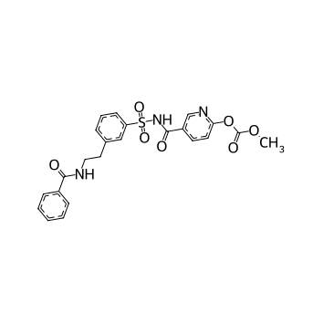 COC(=O)Oc1ccc(C(=O)NS(=O)(=O)c2cccc(CCNC(=O)c3ccccc3)c2)cn1